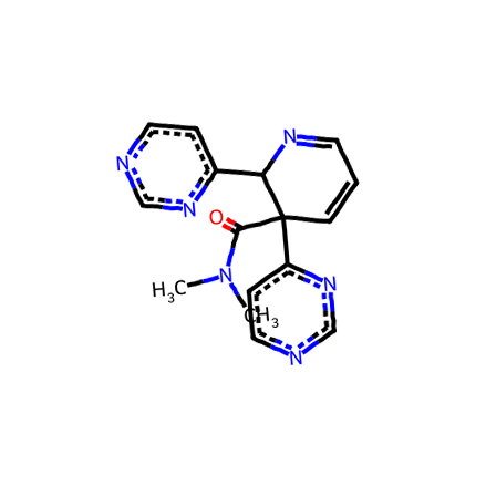 CN(C)C(=O)C1(c2ccncn2)C=CC=NC1c1ccncn1